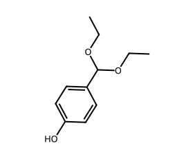 CCOC(OCC)c1ccc(O)cc1